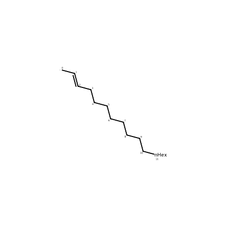 [CH2]/C=C/CCCCCCCCCCCCC[CH2]